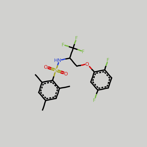 Cc1cc(C)c(S(=O)(=O)NC(COc2cc(F)ccc2F)C(F)(F)F)c(C)c1